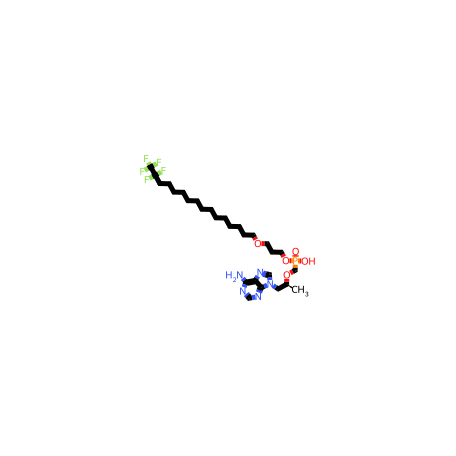 C[C@H](Cn1cnc2c(N)ncnc21)OCP(=O)(O)OCCCOCCCCCCCCCCCCCCC(F)(F)C(F)(F)F